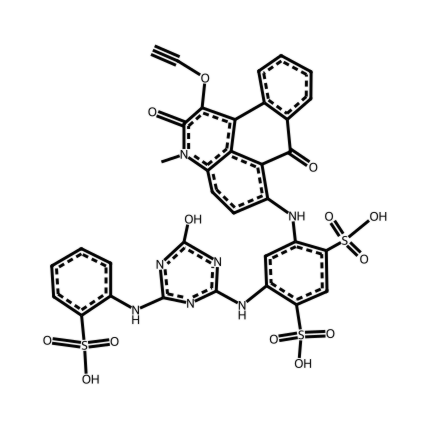 C#COc1c2c3c(c(Nc4cc(Nc5nc(O)nc(Nc6ccccc6S(=O)(=O)O)n5)c(S(=O)(=O)O)cc4S(=O)(=O)O)ccc3n(C)c1=O)C(=O)c1ccccc1-2